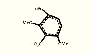 CCCc1ccc(OC)c(C(=O)O)c1OC